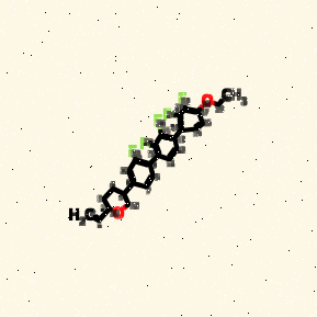 C=CC1CCC(c2ccc(-c3ccc(-c4ccc(OCC)c(F)c4F)c(F)c3F)c(F)c2)CO1